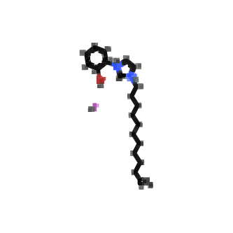 CCCCCCCCCCC[n+]1ccn(-c2ccccc2Br)c1.[I-]